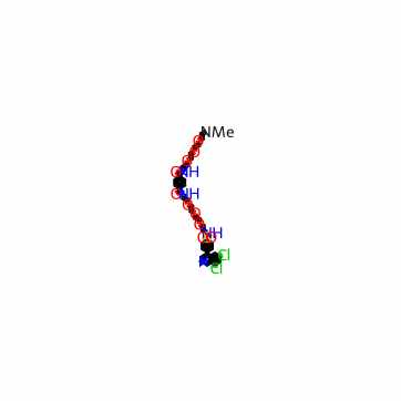 CNCCOCCOCCOCCNC(=O)c1ccc(C(=O)NCCOCCOCCOCCNS(=O)(=O)c2ccc([C@@H]3CN(C)Cc4c(Cl)cc(Cl)cc43)cc2)cc1